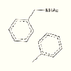 CC(=O)NCc1ccccc1.Cc1ccccc1